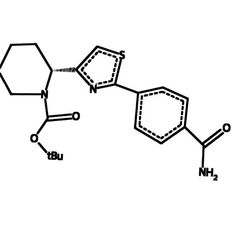 CC(C)(C)OC(=O)N1CCCC[C@@H]1c1csc(-c2ccc(C(N)=O)cc2)n1